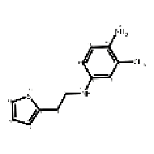 Cc1cc(NCCc2cccs2)ccc1N